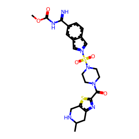 COC(=O)NC(=N)c1ccc2cn(S(=O)(=O)N3CCN(C(=O)c4nc5c(s4)CNC(C)C5)CC3)cc2c1